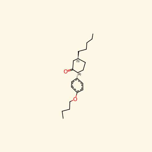 CCCCC[C@H]1CC[C@H](c2ccc(OCCCC)cc2)C(=O)C1